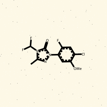 COc1cc(-n2nc(C)n(C(F)F)c2=O)c(F)cc1Cl